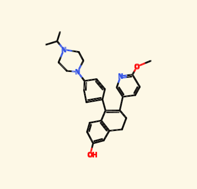 COc1ccc(C2=C(c3ccc(N4CCN(C(C)C)CC4)cc3)c3ccc(O)cc3CC2)cn1